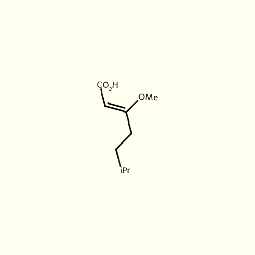 CO/C(=C\C(=O)O)CCC(C)C